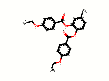 CCOc1ccc(C(=O)Oc2ccc(C)cc2OC(=O)c2ccc(OCC)cc2)cc1